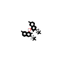 Cc1ccc2cc([Si](C)(C)C(C)(C)C)c(C)c(Oc3c(C)c([Si](C)(C)C(C)(C)C)cc4ccc(C)cc34)c2c1